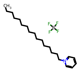 CCCCCCCCCCCCCCCC[n+]1ccccc1.F[B-](F)(F)F